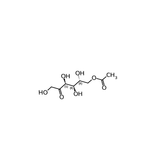 CC(=O)OC[C@@H](O)[C@@H](O)[C@H](O)C(=O)CO